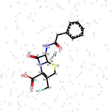 O=C(Cc1ccccc1)N[C@@H]1C(=O)N2C(C(=O)O)=C(CF)CS[C@H]12